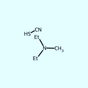 CCN(C)CC.N#CS